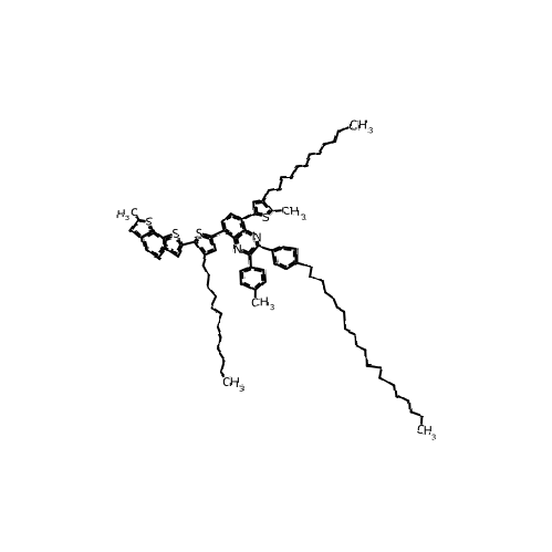 CCCCCCCCCCCCCCCCCCCCc1ccc(-c2nc3c(-c4cc(CCCCCCCCCCCC)c(C)s4)ccc(-c4cc(CCCCCCCCCCCC)c(-c5cc6ccc7cc(C)sc7c6s5)s4)c3nc2-c2ccc(C)cc2)cc1